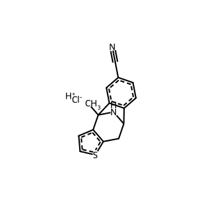 CC12NC(Cc3sccc31)c1ccc(C#N)cc12.[Cl-].[H+]